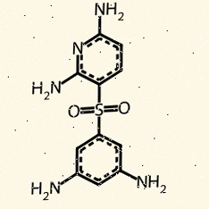 Nc1cc(N)cc(S(=O)(=O)c2ccc(N)nc2N)c1